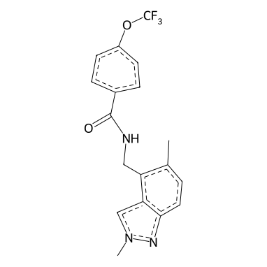 Cc1ccc2nn(C)cc2c1CNC(=O)c1ccc(OC(F)(F)F)cc1